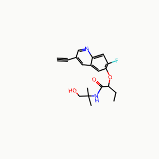 C#Cc1cnc2cc(F)c(OC(CC)C(=O)NC(C)(C)CO)cc2c1